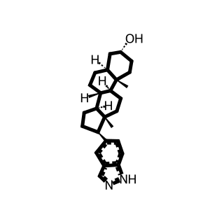 C[C@]12CC[C@@H](O)C[C@@H]1CC[C@@H]1[C@@H]2CC[C@]2(C)[C@@H](c3ccc4[nH]ncc4c3)CC[C@@H]12